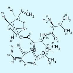 C=C[C@H]1CN2CC[C@H]1C[C@@H]2[C@@H](OC(=O)[C@@H](NC(=O)[C@@H](N)C(C)C)C(C)C)c1ccnc2ccc(OC)cc12